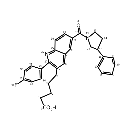 O=C(O)CCCCc1cc2cc(C(=O)N3CCC(c4ccccc4)C3)ccc2nc1-c1ccc(F)cc1